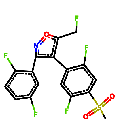 CS(=O)(=O)c1cc(F)c(-c2c(-c3cc(F)ccc3F)noc2CF)cc1F